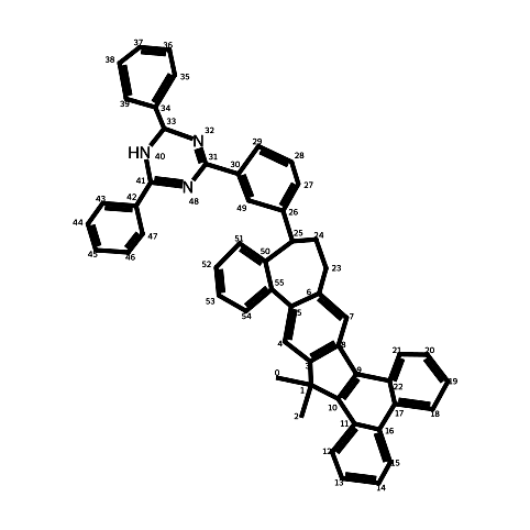 CC1(C)c2cc3c(cc2-c2c1c1ccccc1c1ccccc21)CCC(c1cccc(C2=NC(c4ccccc4)NC(c4ccccc4)=N2)c1)c1ccccc1-3